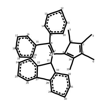 CC1=C(C)C(C)[C]([Zr](=[C](c2ccccc2)c2ccccc2)[CH]2c3ccccc3-c3ccccc32)=C1C